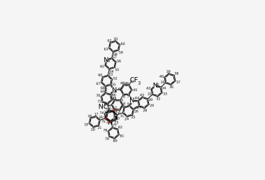 N#Cc1cccc(-c2c(-n3c4cc(-c5ccc(-c6ccccc6)nc5)ccc4c4ccc(-c5ccc(-c6ccccc6)nc5)cc43)cc(C(F)(F)F)cc2-n2c3cc(-c4ccc(-c5ccccc5)nc4)ccc3c3ccc(-c4ccc(-c5ccccc5)nc4)cc32)c1